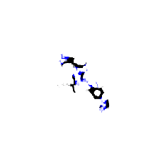 CNC(C)c1cn2c(-c3cnn(C)c3)cnc2c(Nc2ccc(-n3ccnc3)cc2)n1